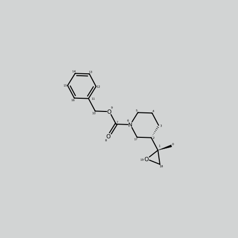 C[C@@]1([C@H]2CCCN(C(=O)OCc3ccccc3)C2)CO1